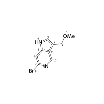 COCc1c[nH]c2cc(Br)ncc12